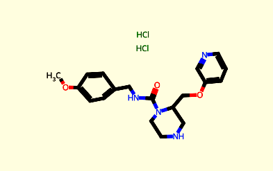 COc1ccc(CNC(=O)N2CCNCC2COc2cccnc2)cc1.Cl.Cl